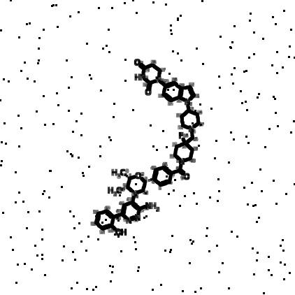 C[C@@H]1O[C@H](c2ccc(C(=O)N3CCC(F)(CN4CCC(n5ccc6cc(N7CCC(=O)NC7=O)ccc65)CC4)CC3)cc2)CN(c2cc(-c3ccccc3O)nnc2N)[C@@H]1C